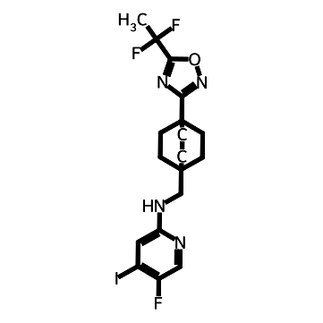 CC(F)(F)c1nc(C23CCC(CNc4cc(I)c(F)cn4)(CC2)CC3)no1